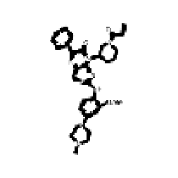 C=CC(=O)N1CCCC(n2c(=O)c(-c3ccccc3)nc3cnc(Nc4ccc(N5CCN(C)CC5)cc4OC)nc32)C1